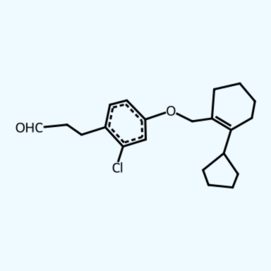 O=CCCc1ccc(OCC2=C(C3CCCC3)CCCC2)cc1Cl